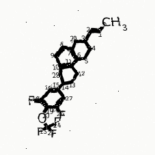 CC=CC1CCc2c(ccc3c2CCC(c2cc(F)c(OC(F)(F)F)c(F)c2)C3)C1